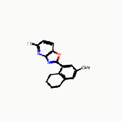 CCc1ccc2oc(-c3cc(OC)cc4c3CCCC4)nc2n1